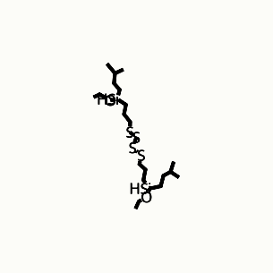 CCO[SiH](CCCSSSSCCC[SiH](CCC(C)C)OCC)CCC(C)C